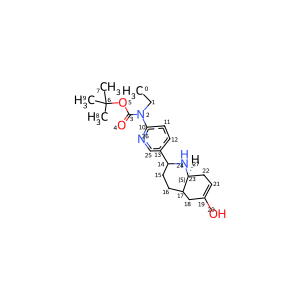 CCN(C(=O)OC(C)(C)C)c1ccc(C2CCC3CC(O)=CC[C@@H]3N2)cn1